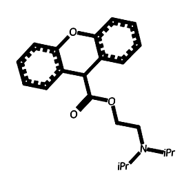 CC(C)N(CCOC(=O)C1c2ccccc2Oc2ccccc21)C(C)C